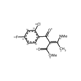 CN/C(C)=C(/C(=O)OC)C(=O)c1ccc(F)cc1Cl